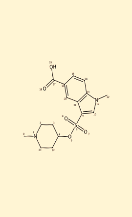 CN1CCC(OS(=O)(=O)c2cn(C)c3ccc(C(=O)O)cc23)CC1